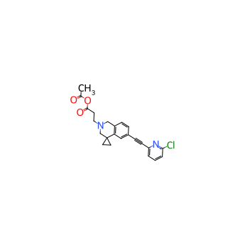 CC(=O)OC(=O)CCN1Cc2ccc(C#Cc3cccc(Cl)n3)cc2C2(CC2)C1